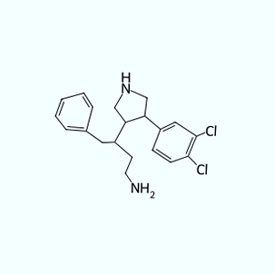 NCCC(Cc1ccccc1)C1CNCC1c1ccc(Cl)c(Cl)c1